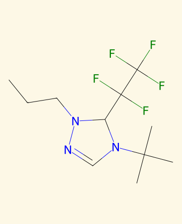 CCCN1N=CN(C(C)(C)C)C1C(F)(F)C(F)(F)F